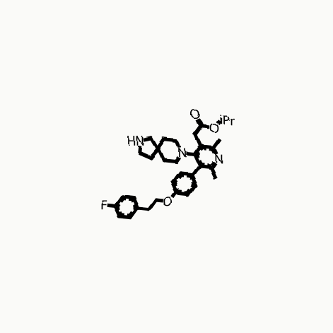 Cc1nc(C)c(-c2ccc(OCCc3ccc(F)cc3)cc2)c(N2CCC3(CCNC3)CC2)c1CC(=O)OC(C)C